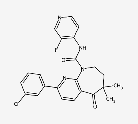 CC1(C)CCN(C(=O)Nc2ccncc2F)c2nc(-c3cccc(Cl)c3)ccc2C1=O